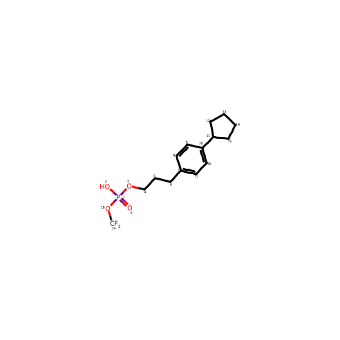 O=P(O)(OCCCc1ccc(C2CCCC2)cc1)OC(F)(F)F